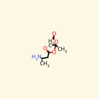 C[C@@H](N)CC(=O)OC(C)(C)OC=O